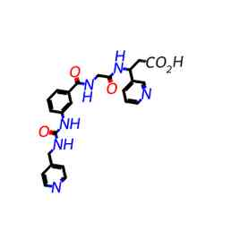 O=C(O)CC(NC(=O)CNC(=O)c1cccc(NC(=O)NCc2ccncc2)c1)c1cccnc1